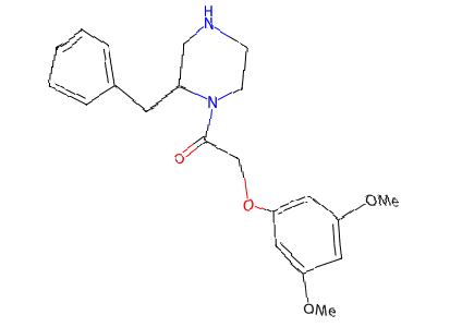 COc1cc(OC)cc(OCC(=O)N2CCNCC2Cc2ccccc2)c1